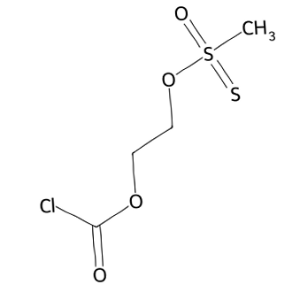 CS(=O)(=S)OCCOC(=O)Cl